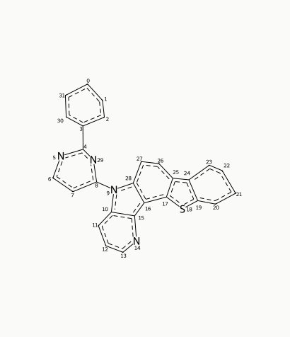 c1ccc(-c2nccc(-n3c4cccnc4c4c5sc6ccccc6c5ccc43)n2)cc1